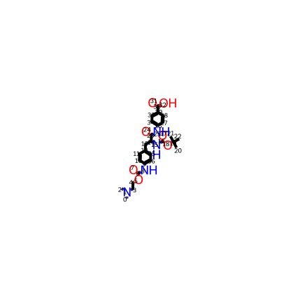 CN(C)CCOC(=O)Nc1ccc(CC(NC(=O)OC(C)(C)C)C(=O)Nc2ccc(C(=O)O)cc2)cc1